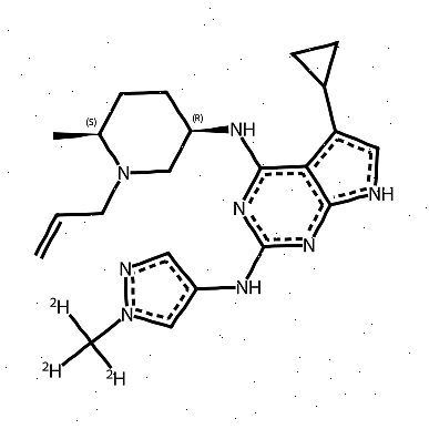 [2H]C([2H])([2H])n1cc(Nc2nc(N[C@@H]3CC[C@H](C)N(CC=C)C3)c3c(C4CC4)c[nH]c3n2)cn1